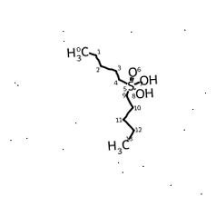 CCCCCS(=O)(O)(O)CCCCC